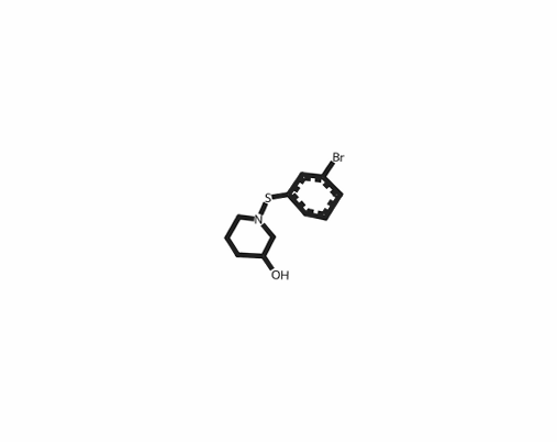 OC1CCCN(Sc2cccc(Br)c2)C1